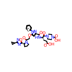 O=C(O)CC[C@H](NC(=O)c1cc(OCC(=O)N2CCC[C@H]2c2nc(C3CC3)no2)n(-c2ccccc2)n1)C(=O)N1CCN(C(=O)O)CC1